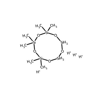 C[Si]1(C)O[SiH2]O[SiH2]O[Si](C)(C)O[Si](C)(C)O1.[H+].[H+].[H+].[H+]